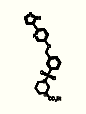 CCOC(=O)[C@H]1CCCN(S(=O)(=O)c2cccc(COc3ccc(-c4ccn[nH]4)nc3)c2)C1